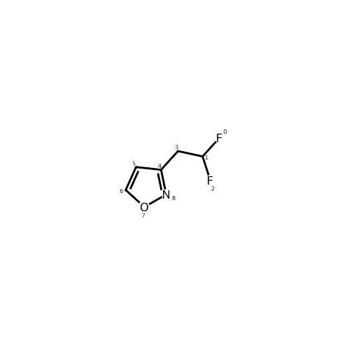 FC(F)Cc1ccon1